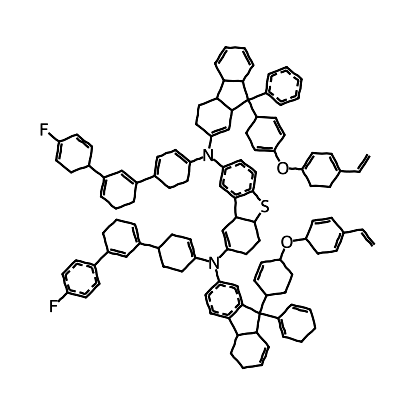 C=CC1=CCC(OC2C=CC(C3(C4=CCCC=C4)c4cc(N(C5=CCC(C6=CCCC(c7ccc(F)cc7)=C6)CC5)C5=CC6c7cc(N(C8=CC=C(C9=CC(C%10C=CC(F)=CC%10)=CCC9)CC8)C8=CC9C(CC8)C8C=CC=CC8C9(c8ccccc8)C8C=CC(OC9=CC=C(C=C)CC9)=CC8)ccc7SC6CC5)ccc4C4CCC=CC43)CC2)C=C1